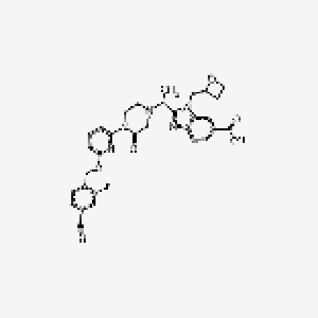 C[C@@H](c1nc2ccc(C(=O)O)cc2n1C[C@@H]1CCO1)N1CCN(c2cccc(OCc3ccc(C#N)cc3F)n2)C(=O)C1